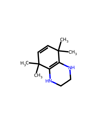 CC1(C)C=CC(C)(C)C2=C1NCCN2